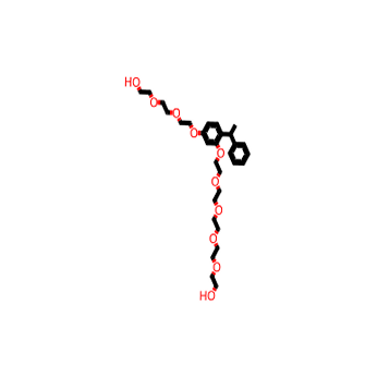 CC(c1ccccc1)c1ccc(OCCOCCOCCO)cc1OCCOCCOCCOCCOCCO